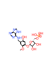 COc1cc(CNc2ncnc3nc[nH]c23)c(O)cc1OC1O[C@H](COP(=O)(O)O)[C@@H](O)[C@H]1O